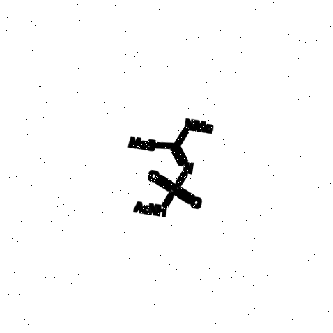 CNC(=NS(=O)(=O)NC(C)=O)SC